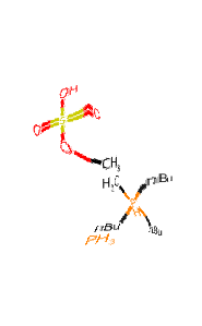 CCCC[PH](C)(CCCC)CCCC.COS(=O)(=O)O.P